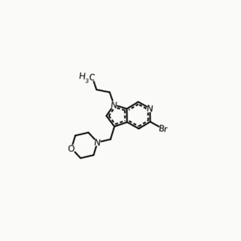 CCCn1cc(CN2CCOCC2)c2cc(Br)ncc21